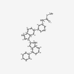 CC(C)CC(=O)Nc1cncc(-c2cnc3[nH]nc(-c4cc5c(-c6ccccn6)ccnc5[nH]4)c3c2)c1